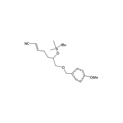 COc1ccc(COCC(CCC=CC#N)O[Si](C)(C)C(C)(C)C)cc1